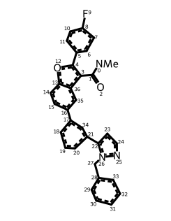 CNC(=O)c1c(-c2ccc(F)cc2)oc2ccc(-c3cccc(-c4ccnn4Cc4ccccc4)c3)cc12